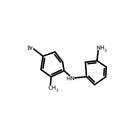 Cc1cc(Br)ccc1Nc1cccc(N)c1